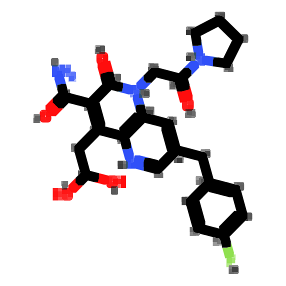 NC(=O)c1c(CC(O)O)c2ncc(Cc3ccc(F)cc3)cc2n(CC(=O)N2CCCC2)c1=O